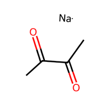 CC(=O)C(C)=O.[Na]